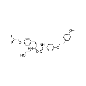 COc1ccc(CCOc2ccc(C(=O)NC(=Cc3ccc(OCC(F)F)cc3)C(=O)NCCO)cc2)cc1